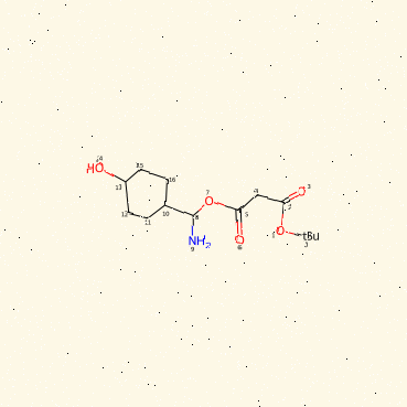 CC(C)(C)OC(=O)CC(=O)OC(N)C1CCC(O)CC1